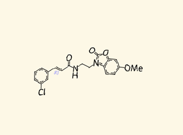 COc1ccc2c(c1)oc(=O)n2CCNC(=O)/C=C/c1cccc(Cl)c1